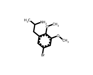 COc1cc(Br)cc(CC(C)N)c1OC